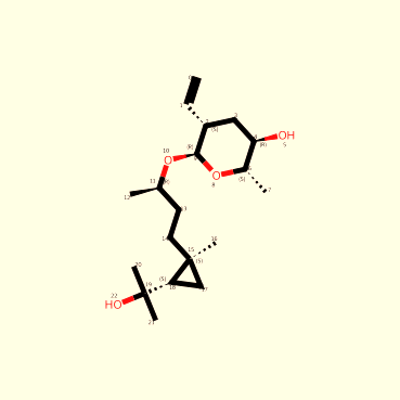 C=C[C@@H]1C[C@@H](O)[C@H](C)O[C@H]1O[C@H](C)CC[C@@]1(C)C[C@@H]1C(C)(C)O